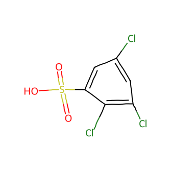 O=S(=O)(O)c1cc(Cl)cc(Cl)c1Cl